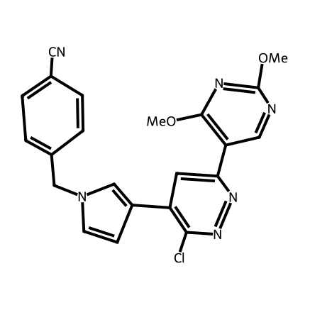 COc1ncc(-c2cc(-c3ccn(Cc4ccc(C#N)cc4)c3)c(Cl)nn2)c(OC)n1